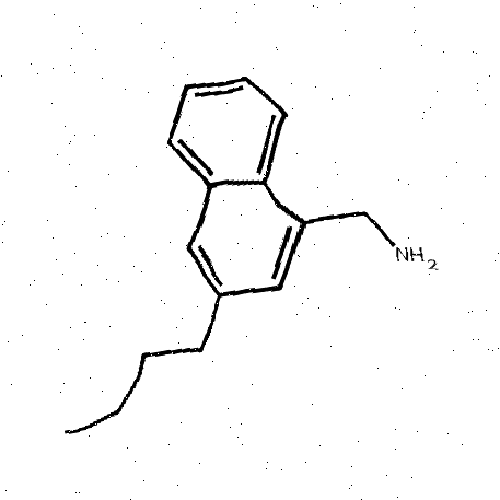 CCCCc1cc(CN)c2ccccc2c1